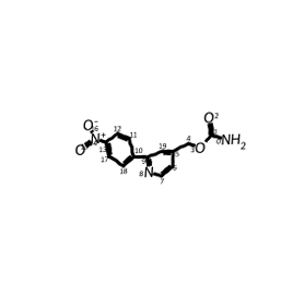 NC(=O)OCc1ccnc(-c2ccc([N+](=O)[O-])cc2)c1